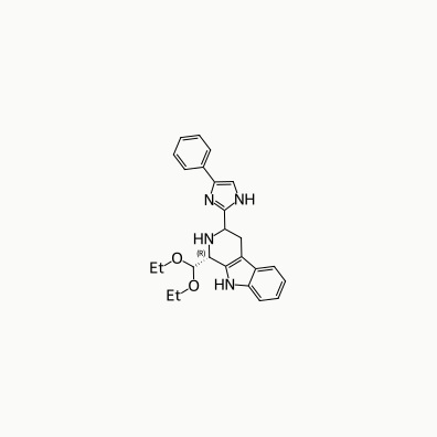 CCOC(OCC)[C@@H]1NC(c2nc(-c3ccccc3)c[nH]2)Cc2c1[nH]c1ccccc21